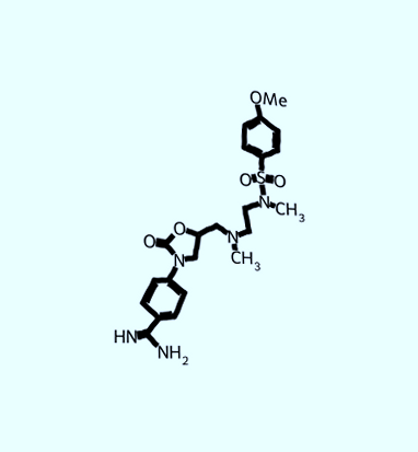 COc1ccc(S(=O)(=O)N(C)CCN(C)CC2CN(c3ccc(C(=N)N)cc3)C(=O)O2)cc1